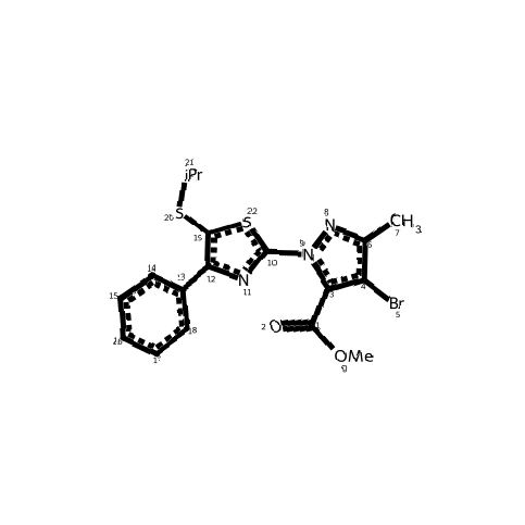 COC(=O)c1c(Br)c(C)nn1-c1nc(-c2ccccc2)c(SC(C)C)s1